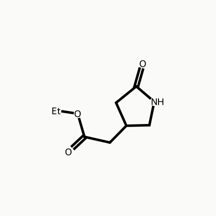 CCOC(=O)CC1CNC(=O)C1